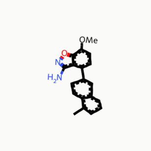 COc1ccc(-c2ccc3c(C)cccc3c2)c2c(N)noc12